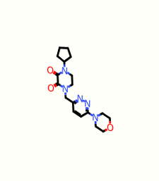 O=C1C(=O)N(C2CCCC2)CCN1Cc1ccc(N2CCOCC2)nn1